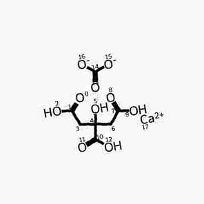 O=C(O)CC(O)(CC(=O)O)C(=O)O.O=C([O-])[O-].[Ca+2]